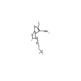 CCc1sc2nc(C)n(COCC[Si](C)(C)C)c2c1N